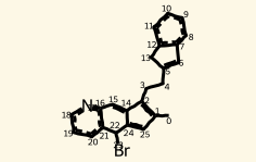 CC1=C(CCC2=Cc3ccccc3C2)C2=Cc3ncccc3C(Br)C2=C1